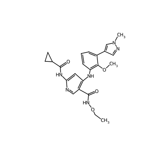 CCONC(=O)c1cnc(NC(=O)C2CC2)cc1Nc1cccc(-c2cnn(C)c2)c1OC